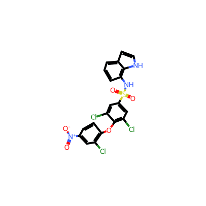 O=[N+]([O-])c1ccc(Oc2c(Cl)cc(S(=O)(=O)Nc3cccc4cc[nH]c34)cc2Cl)c(Cl)c1